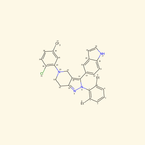 CCc1cccc(CC)c1-n1nc2c(c1-c1ccc3[nH]ccc3c1)CN(c1cc(C(F)(F)F)ccc1Cl)CC2